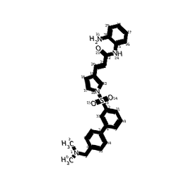 CN(C)Cc1ccc(-c2cccc(S(=O)(=O)n3ccc(C=CC(=O)Nc4ccccc4N)c3)c2)cc1